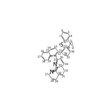 CC1(C)c2ccccc2Sc2c(-c3ccc4ccccc4c3C3=NC4=c5ncccc5=CCC4C=C3)cccc21